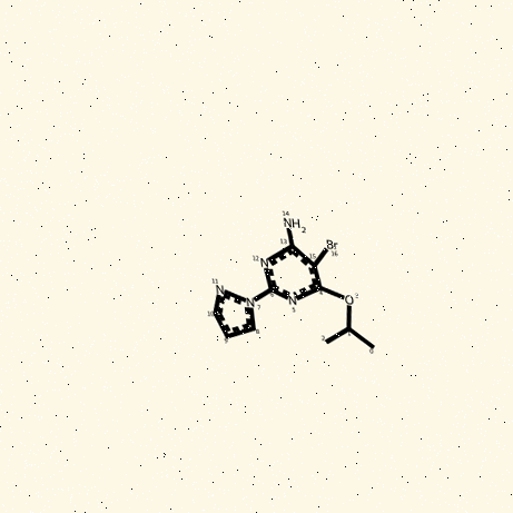 CC(C)Oc1nc(-n2cccn2)nc(N)c1Br